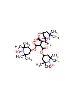 CC1(C)CC(OC(=O)C(C(=O)OC2CC(C)(C)N(O)C(C)(C)C2)C2ON3C(C)(C)CC(CC3(C)C)OC2=O)CC(C)(C)N1O